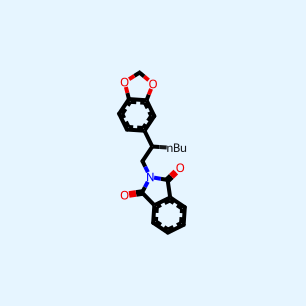 CCCCC(CN1C(=O)c2ccccc2C1=O)c1ccc2c(c1)OCO2